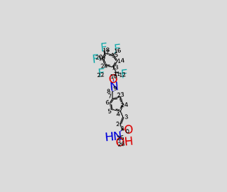 O=C(C=Cc1ccc(C=NOC(F)c2cc(F)c(F)c(F)c2F)cc1)NO